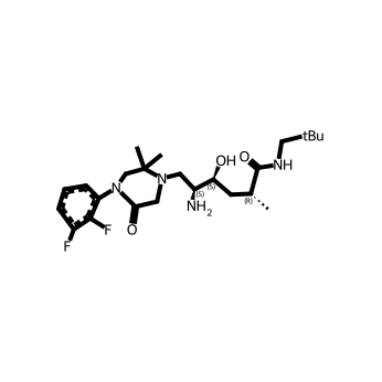 C[C@H](C[C@H](O)[C@@H](N)CN1CC(=O)N(c2cccc(F)c2F)CC1(C)C)C(=O)NCC(C)(C)C